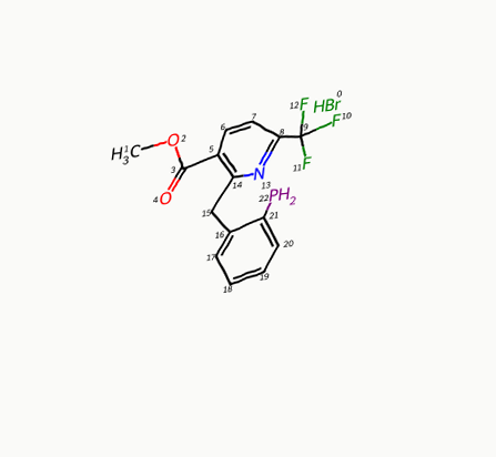 Br.COC(=O)c1ccc(C(F)(F)F)nc1Cc1ccccc1P